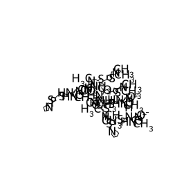 CN(C)Cc1cc(CSCCN(C)C(N)=C[N+](=O)[O-])cs1.CNC(=C[N+](=O)[O-])NCC(C)OCc1csc(CN(C)C)c1.CNC(=C[N+](=O)[O-])NCCSCc1cc(C)c(CN(C)C)s1.CNC(=C[N+](=O)[O-])NCCSCc1csc(CN2CCCC2)c1.CNC(=C[N+](=O)[O-])NCCSCc1csc(CN2CCCCC2)c1